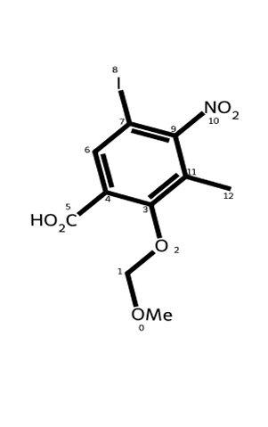 COCOc1c(C(=O)O)cc(I)c([N+](=O)[O-])c1C